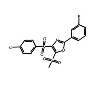 CS(=O)(=O)c1oc(-c2cccc(F)c2)nc1S(=O)(=O)c1ccc(Cl)cc1